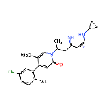 COc1cn(C(C)CC(=N)/C=C\NC2CC2)c(=O)cc1-c1cc(Cl)ccc1C(C)=O